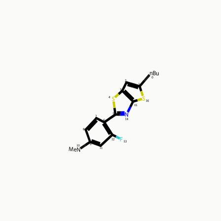 CCCCc1cc2sc(-c3ccc(NC)cc3F)nc2s1